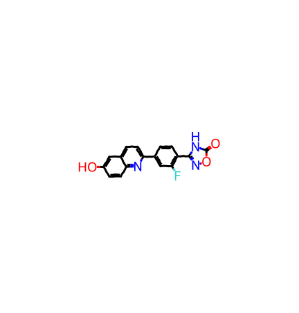 O=c1[nH]c(-c2ccc(-c3ccc4cc(O)ccc4n3)cc2F)no1